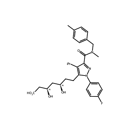 Cc1ccc(CN(C)C(=O)c2nn(-c3ccc(F)cc3)c(CC[C@@H](O)C[C@@H](O)CC(=O)O)c2C(C)C)cc1